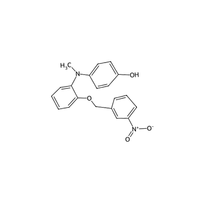 CN(c1ccc(O)cc1)c1ccccc1OCc1cccc([N+](=O)[O-])c1